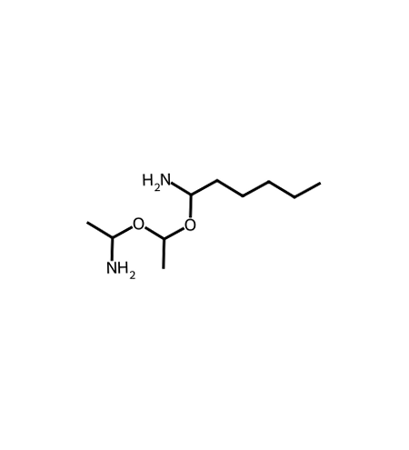 CCCCCC(N)OC(C)OC(C)N